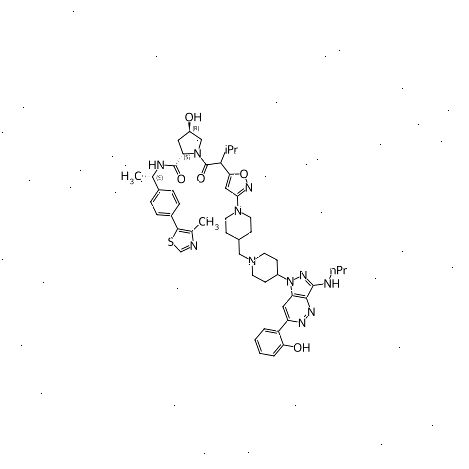 CCCNc1nn(C2CCN(CC3CCN(c4cc(C(C(=O)N5C[C@H](O)C[C@H]5C(=O)N[C@@H](C)c5ccc(-c6scnc6C)cc5)C(C)C)on4)CC3)CC2)c2cc(-c3ccccc3O)nnc12